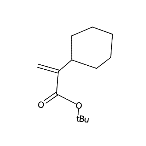 C=C(C(=O)OC(C)(C)C)C1CCCCC1